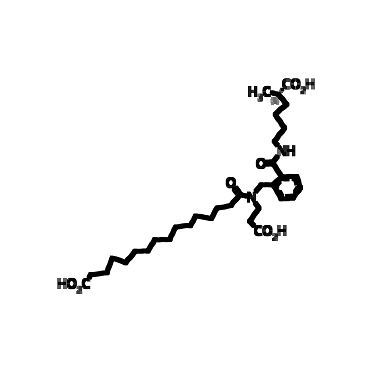 C[C@@H](CCCCNC(=O)c1ccccc1CN(CCC(=O)O)C(=O)CCCCCCCCCCCCCCC(=O)O)C(=O)O